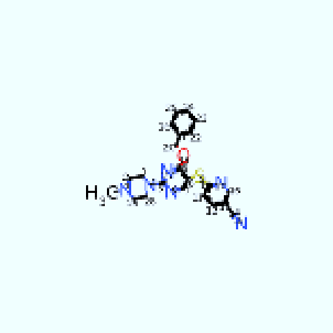 CN1CCN(c2ncc(Sc3ccc(C#N)cn3)c(OCc3ccccc3)n2)CC1